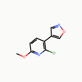 COc1ccc(-c2cnoc2)c(Cl)n1